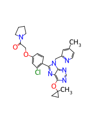 Cc1ccnc(Cn2c(-c3ccc(OCC(=O)N4CCCC4)cc3Cl)nc3c(OC4(C)CC4)ncnc32)c1